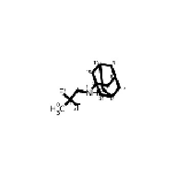 CC(F)(F)CNC12CC3CC(CC(C3)C1)C2